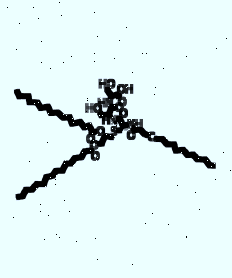 CCCCCCCCCCCCCCCC(=O)N[C@@H](CSCC(COC(=O)CCCCCCCCCCCCCCC)OC(=O)CCCCCCCCCCCCCCC)C(=O)NC(CO)C(=O)NC(CO)C(=O)O